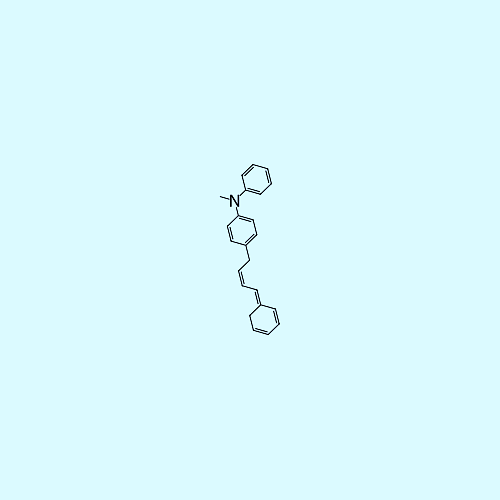 CN(c1ccccc1)c1ccc(C/C=C\C=C2\C=CC=CC2)cc1